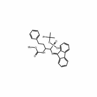 CC(C)C(C)(C)OP(=O)(O)C(N=C1c2ccccc2-c2ccccc21)C(CCc1ccccc1)NC(=O)OC(C)(C)C